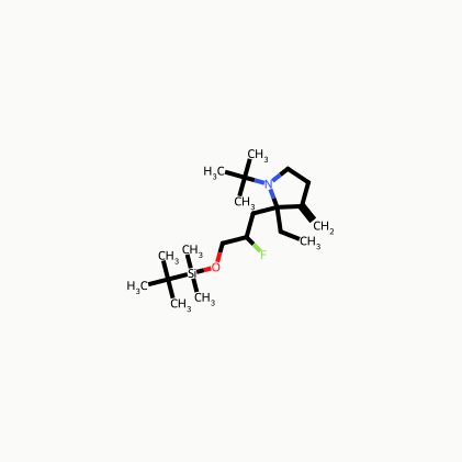 C=C1CCN(C(C)(C)C)C1(CC)CC(F)CO[Si](C)(C)C(C)(C)C